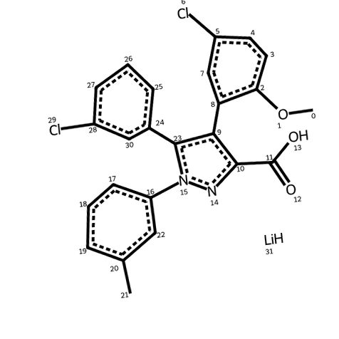 COc1ccc(Cl)cc1-c1c(C(=O)O)nn(-c2cccc(C)c2)c1-c1cccc(Cl)c1.[LiH]